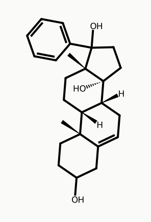 C[C@]12CCC(O)CC1=CC[C@@H]1[C@H]2CC[C@]2(C)C(O)(c3ccccc3)CC[C@@]12O